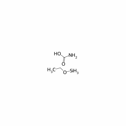 CCO[SiH3].NC(=O)O